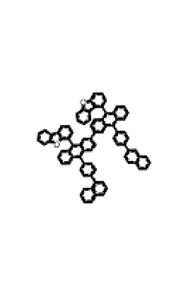 c1ccc2cc(-c3ccc(-c4c5ccccc5c(-c5cccc6oc7ccccc7c56)c5ccc(-c6ccc7c(-c8ccc(-c9cccc%10ccccc9%10)cc8)c8ccccc8c(-c8cccc9c8oc8ccccc89)c7c6)cc45)cc3)ccc2c1